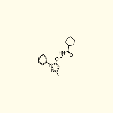 Cc1cc(OCNC(=O)C2CCCCC2)n(-c2ccccc2)n1